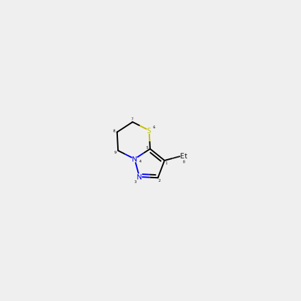 CCc1cnn2c1SCCC2